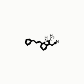 Cc1[nH]c2c(C=CCc3ccccc3)cccc2c1CC#N